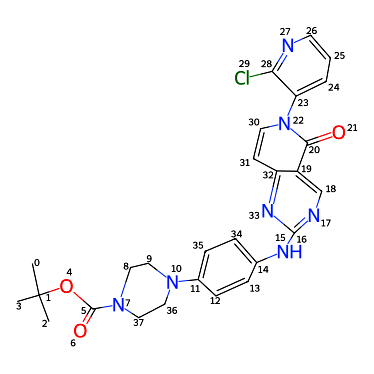 CC(C)(C)OC(=O)N1CCN(c2ccc(Nc3ncc4c(=O)n(-c5cccnc5Cl)ccc4n3)cc2)CC1